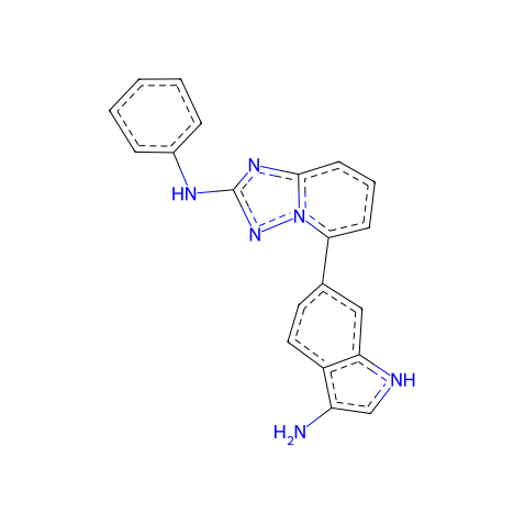 Nc1c[nH]c2cc(-c3cccc4nc(Nc5ccccc5)nn34)ccc12